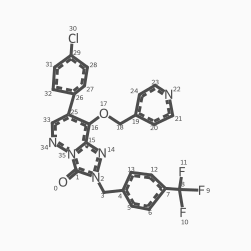 O=c1n(Cc2ccc(C(F)(F)F)cc2)nc2c(OCc3ccncc3)c(-c3ccc(Cl)cc3)cnn12